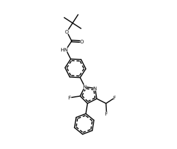 CC(C)(C)OC(=O)Nc1ccc(-n2nc(C(F)F)c(-c3ccccc3)c2F)cc1